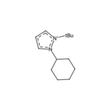 CC(C)(C)[n+]1cccn1C1CCCCC1